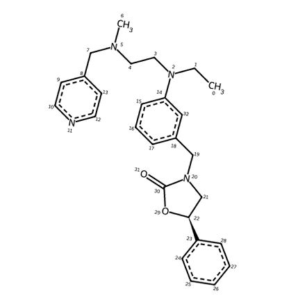 CCN(CCN(C)Cc1ccncc1)c1cccc(CN2C[C@@H](c3ccccc3)OC2=O)c1